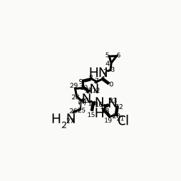 C=C(NCC1CC1)c1ccc2c(n1)N(C(=C)Nc1ccc(Cl)cn1)[C@@H](CCN)CC2